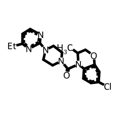 CCc1ccnc(N2CCN(C(=O)N3c4ccc(Cl)cc4OCC3C)CC2)n1